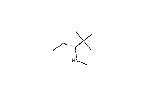 CC[C@@H](NC)C(C)(C)C